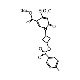 CCOC(=O)c1cc(=O)n(C2CC(OS(=O)(=O)c3ccc(C)cc3)C2)cc1C(=O)OC(C)(C)C